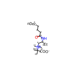 CCCCCCCCCCCCCC(=O)NC(CC)C[N+](C)(C)C(C)(C)C(=O)[O-]